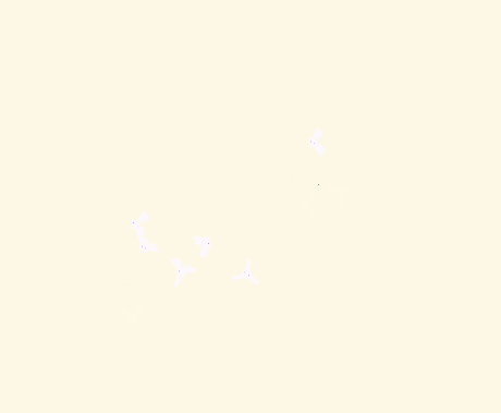 CC1(c2ccc(Cl)cn2)Oc2c(F)ccc(C3CCN(Cc4nc5cc(Cl)nnc5n4CC4CCO4)CC3)c2O1